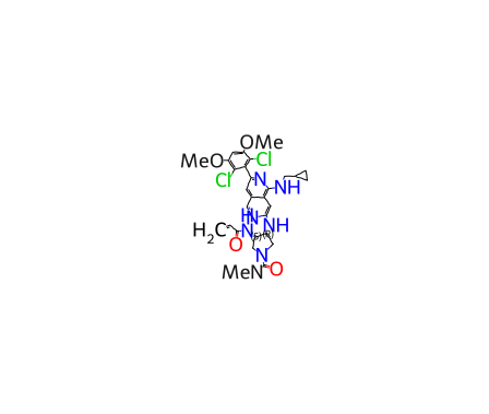 C=CC(=O)N[C@H]1CN(C(=O)NC)C[C@H]1Nc1cc2c(NCC3CC3)nc(-c3c(Cl)c(OC)cc(OC)c3Cl)cc2cn1